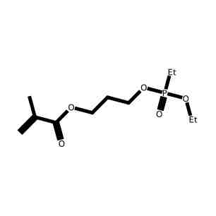 C=C(C)C(=O)OCCCOP(=O)(CC)OCC